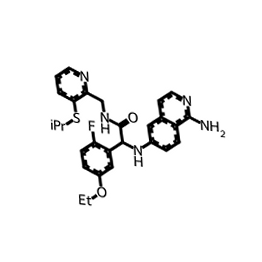 CCOc1ccc(F)c(C(Nc2ccc3c(N)nccc3c2)C(=O)NCc2ncccc2SC(C)C)c1